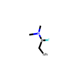 CCCCB(F)N(C)C